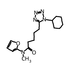 CN(C(=O)CCCCc1nnnn1C1CCCCC1)c1ccco1